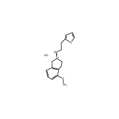 COc1cccc2c1CC[C@H](NCCc1cccs1)C2.Cl